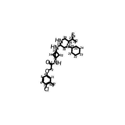 O=C(COc1ccc(Cl)c(F)c1)NC12CC(NC3CN(C4CCCCC4)C(C(F)F)CN3)(C1)C2